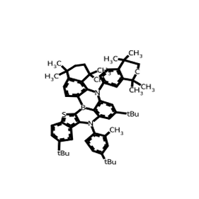 Cc1cc(C(C)(C)C)ccc1N1c2cc(C(C)(C)C)cc3c2B(c2ccc4c(c2N3c2ccc3c(c2)C(C)(C)CCC3(C)C)C(C)(C)CCC4(C)C)c2sc3ccc(C(C)(C)C)cc3c21